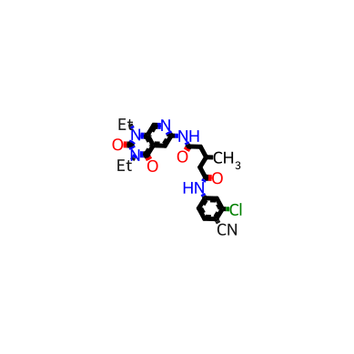 CCn1c(=O)c2cc(NC(=O)CC(C)CC(=O)Nc3ccc(C#N)c(Cl)c3)ncc2n(CC)c1=O